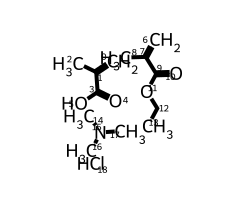 C=C(C)C(=O)O.C=C(C)C(=O)OCC.CN(C)C.Cl